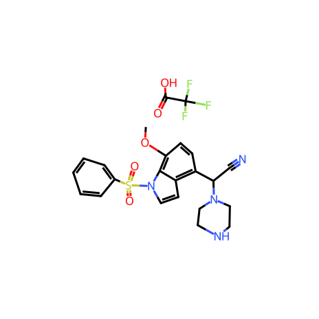 COc1ccc(C(C#N)N2CCNCC2)c2ccn(S(=O)(=O)c3ccccc3)c12.O=C(O)C(F)(F)F